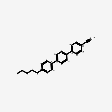 CCCCCc1ccc(-c2ccc(-c3ccc(C#N)cc3)cc2)cc1